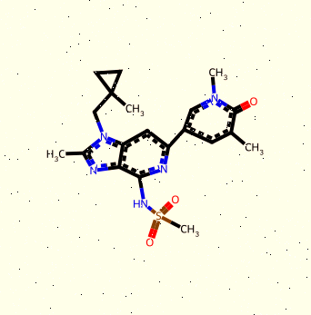 Cc1cc(-c2cc3c(nc(C)n3CC3(C)CC3)c(NS(C)(=O)=O)n2)cn(C)c1=O